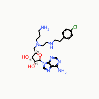 NCCCN(CCNCCc1ccc(Cl)cc1)C[C@H]1OC(n2cnc3c(N)ncnc32)[C@H](O)[C@@H]1O